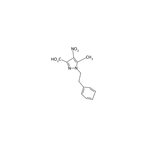 Cc1c([N+](=O)[O-])c(C(=O)O)nn1CCc1ccccc1